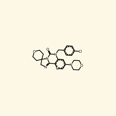 O=C1N(Cc2ccc(Cl)cc2)c2cc(N3CCOCC3)cnc2C2=NCC3(CCOCC3)N12